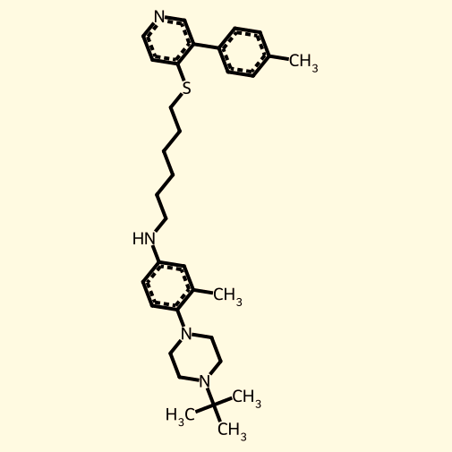 Cc1ccc(-c2cnccc2SCCCCCCNc2ccc(N3CCN(C(C)(C)C)CC3)c(C)c2)cc1